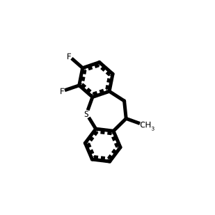 CC1Cc2ccc(F)c(F)c2Sc2ccccc21